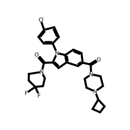 O=C(c1ccc2c(c1)cc(C(=O)N1CCC(F)(F)CC1)n2-c1ccc(Cl)cc1)N1CCN(C2CCC2)CC1